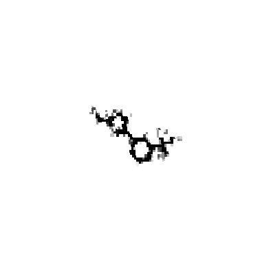 NCc1nc(-c2cccc(C(F)(F)F)c2)cs1